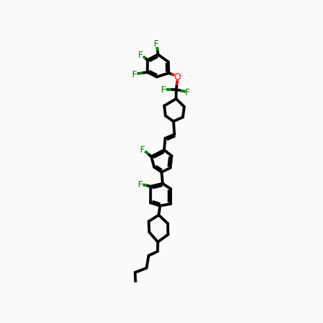 CCCCCC1CCC(c2ccc(-c3ccc(/C=C/C4CCC(C(F)(F)Oc5cc(F)c(F)c(F)c5)CC4)c(F)c3)c(F)c2)CC1